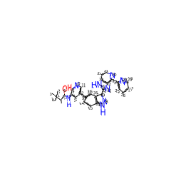 CC(C)(C)CC(O)Nc1cncc(-c2ccc3[nH]nc(-c4nc5c(-c6ccccn6)nccc5[nH]4)c3c2)c1